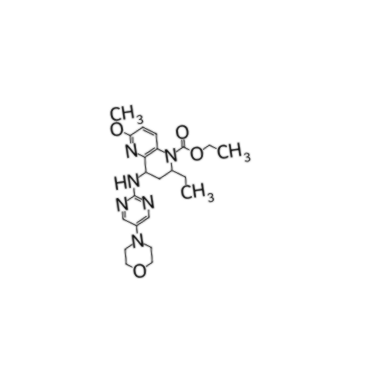 CCOC(=O)N1c2ccc(OC)nc2C(Nc2ncc(N3CCOCC3)cn2)CC1CC